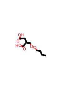 CCCCOOC=C(CC(=O)O)C(=O)O